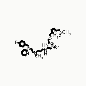 CN(C)Cc1ccc(CSCCNC(=C[N+](=O)[O-])NCCCN(C)CCN(Cc2ccc(F)cc2)c2ccccn2)o1